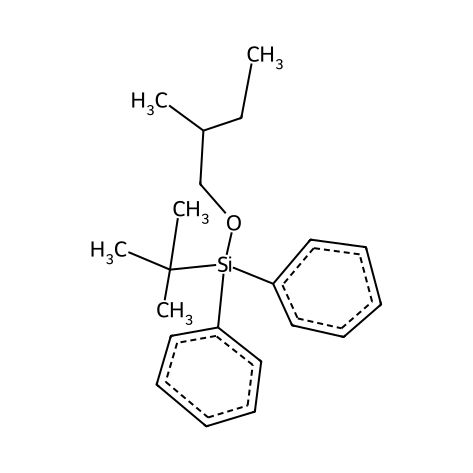 CCC(C)CO[Si](c1ccccc1)(c1ccccc1)C(C)(C)C